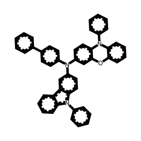 c1ccc(-c2ccc(N(c3ccc4c(c3)Oc3ccccc3N4c3ccccc3)c3ccc4c(c3)c3ccccc3n4-c3ccccc3)cc2)cc1